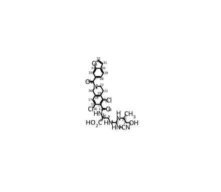 C[C@@H](CO)NC(NC#N)NC[C@H](NC(=O)c1c(Cl)cc2c(c1Cl)CCN(C(=O)c1ccc3ccoc3c1)C2)C(=O)O